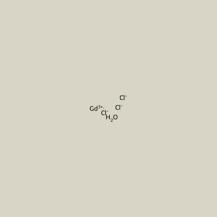 O.[Cl-].[Cl-].[Cl-].[Gd+3]